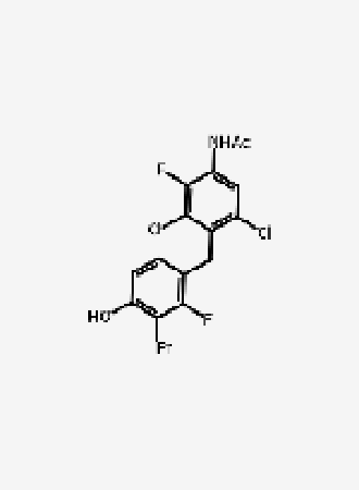 CC(=O)Nc1cc(Cl)c(Cc2ccc(O)c(C(C)C)c2F)c(Cl)c1F